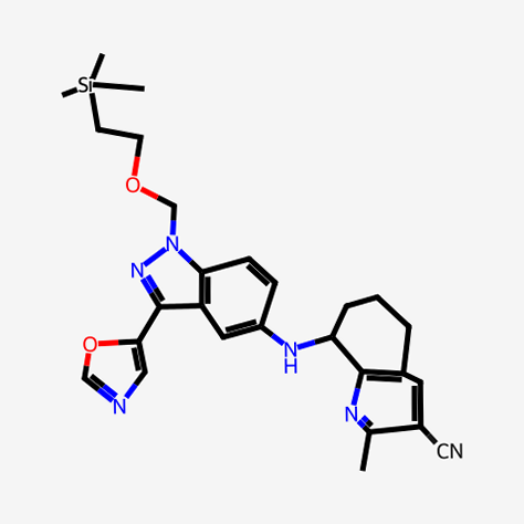 Cc1nc2c(cc1C#N)CCCC2Nc1ccc2c(c1)c(-c1cnco1)nn2COCC[Si](C)(C)C